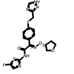 O=C(Nc1ncc(F)s1)/C(=N/O[C@@H]1CCOC1)c1ccc(SCc2nc[nH]n2)cc1